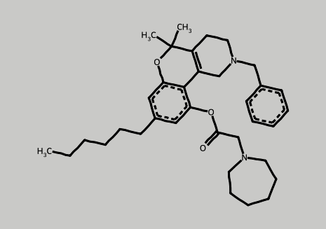 CCCCCCc1cc(OC(=O)CN2CCCCCC2)c2c(c1)OC(C)(C)C1=C2CN(Cc2ccccc2)CC1